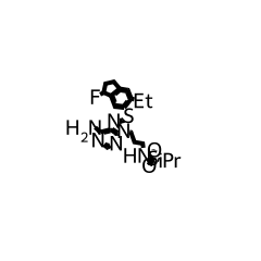 CCc1cc2c(cc1Sc1nc3c(N)ncnc3n1CCCNS(=O)(=O)C(C)C)C(F)CC2